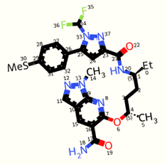 CC[C@@H](CC[C@H](C)Oc1nc2c(cnn2C)cc1C(N)=O)NC(=O)c1cc(-c2ccc(SC)cc2)n(C(F)F)n1